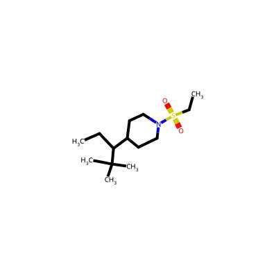 CCC(C1CCN(S(=O)(=O)CC)CC1)C(C)(C)C